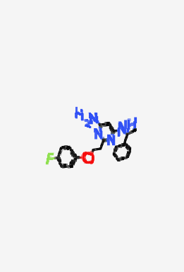 C[C@H](Nc1cc(N)nc(CCOc2ccc(F)cc2)n1)c1ccccc1